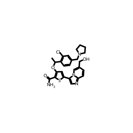 CC(Oc1cc(-c2cnc3ccc(CO)cn23)sc1C(N)=O)c1ccc(CN2CCCC2)cc1Cl